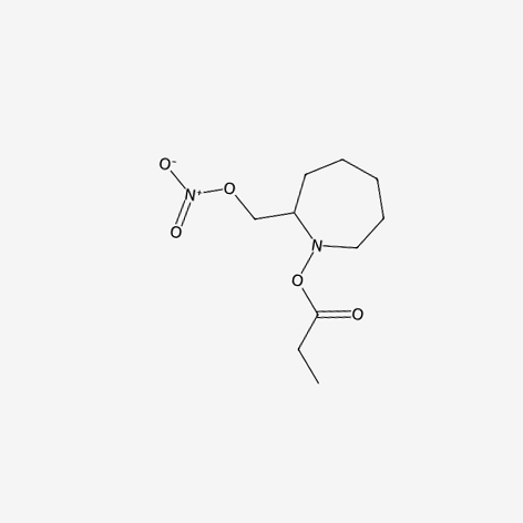 CCC(=O)ON1CCCCCC1CO[N+](=O)[O-]